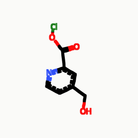 O=C(OCl)c1cc(CO)ccn1